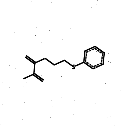 C=C(C)C(=C)CCCSc1ccccc1